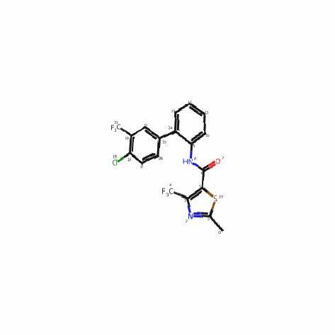 Cc1nc(C(F)(F)F)c(C(=O)Nc2ccccc2-c2ccc(Cl)c(C(F)(F)F)c2)s1